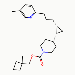 Cc1ccc(CCC[C@@H]2C[C@@H]2C2CCN(C(=O)OCC3(C)CCC3)CC2)nc1